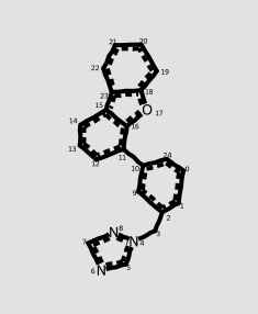 c1cc(Cn2cncn2)cc(-c2cccc3c2oc2ccccc23)c1